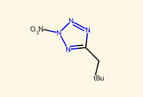 CC(C)(C)Cc1nnn([N+](=O)[O-])n1